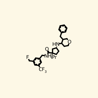 CC(C)[C@]1(C(=O)NCc2cc(CF)cc(C(F)(F)F)c2)CC[C@@H](NC2CCOCC2Cc2ccccc2)C1